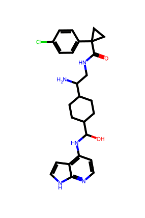 NC(CNC(=O)C1(c2ccc(Cl)cc2)CC1)C1CCC(C(O)Nc2ccnc3[nH]ccc23)CC1